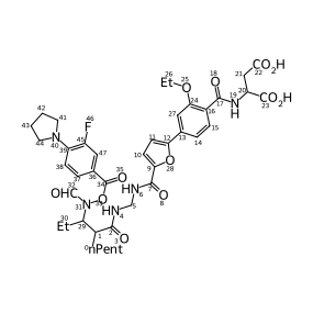 CCCCCC(C(=O)NCNC(=O)c1ccc(-c2ccc(C(=O)NC(CC(=O)O)C(=O)O)c(OCC)c2)o1)C(CC)N(C=O)OC(=O)c1ccc(N2CCCC2)c(F)c1